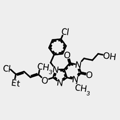 CC/C(Cl)=C\C=C(/C)Oc1nc2c(c(=O)n(CCCO)c(=O)n2C)n1Cc1ccc(Cl)cc1